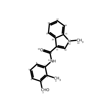 Cc1c(C=O)cccc1NC(=O)c1cn(C)c2ccccc12